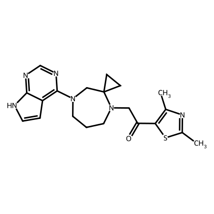 Cc1nc(C)c(C(=O)CN2CCCN(c3ncnc4[nH]ccc34)CC23CC3)s1